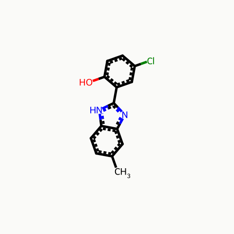 Cc1ccc2[nH]c(-c3cc(Cl)ccc3O)nc2c1